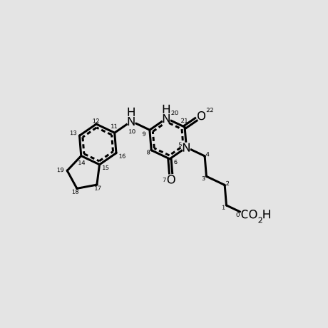 O=C(O)CCCCn1c(=O)cc(Nc2ccc3c(c2)CCC3)[nH]c1=O